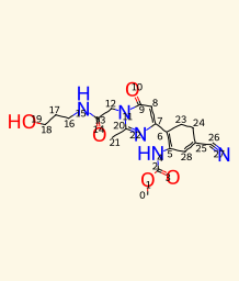 COC(=O)NC1=C(c2cc(=O)n(CC(=O)NCCCO)c(C)n2)CCC(C#N)=C1